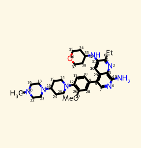 CCc1nc2c(N)ncc(-c3ccc(N4CCC(N5CCN(C)CC5)CC4)c(OC)c3)c2cc1NC1CCOCC1